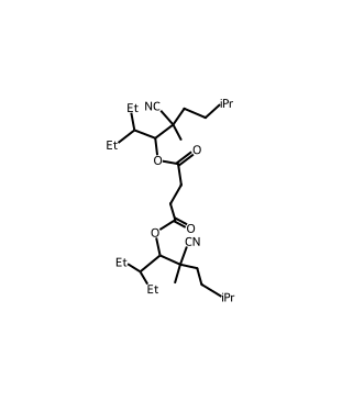 CCC(CC)C(OC(=O)CCC(=O)OC(C(CC)CC)C(C)(C#N)CCC(C)C)C(C)(C#N)CCC(C)C